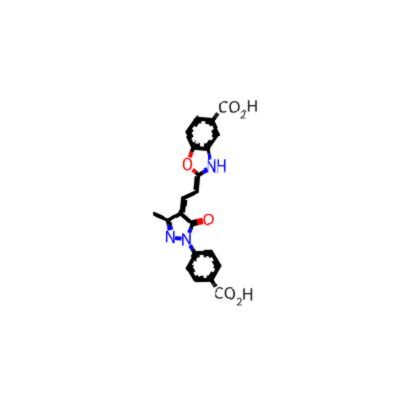 CC1=NN(c2ccc(C(=O)O)cc2)C(=O)C1=CC=C1Nc2cc(C(=O)O)ccc2O1